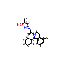 Cc1cccc2c1CCN(C(=O)CNCC(C)O)C2C1CCCCC1